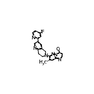 Cc1cc2nccc(=O)n2nc1N1CCc2ncc(-c3cc(F)ccn3)cc2C1